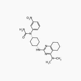 CN(C)c1nc(N[C@H]2CC[C@@H](N(C(N)=O)c3cccc([N+](=O)[O-])c3)CC2)nc2c1CCCC2